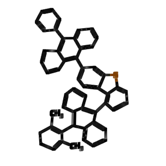 CC1=CCCC(C)=C1c1c2ccccc2c(-c2cccc3sc4cc(-c5c6ccccc6c(-c6ccccc6)c6ccccc56)ccc4c23)c2ccccc12